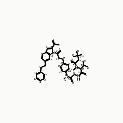 C=C(C)c1cc2ccc(CCc3ccccc3)cc2n1C(=C)CCc1ccc(N(C)C(=C)CNC(=C)C(C(C)C)N(C)C(=C)CC(C)(C)C)cc1